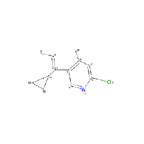 CC=C(c1cnc(Cl)cc1C)C1CC1